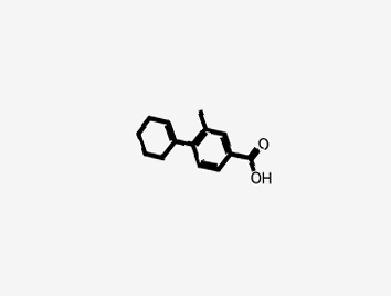 Cc1cc(C(=O)O)ccc1C1=CCCCC1